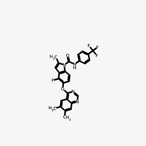 Cc1cc2ncnc(Oc3ccc4c(cc(C)n4C(=O)Nc4ccc(C(F)(F)F)cc4)c3F)c2cc1C